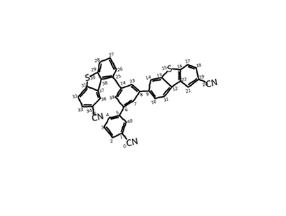 N#Cc1cccc(-c2cc(-c3ccc4c(c3)sc3ccc(C#N)cc34)cc(-c3cccc4sc5ccc(C#N)cc5c34)c2)c1